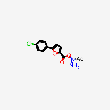 CC(=O)N(N)OC(=O)c1ccc(-c2ccc(Cl)cc2)o1